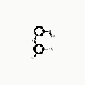 Cc1cc(C#N)cc(Nc2cc(NO)ccn2)c1